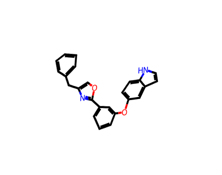 c1ccc(Cc2coc(-c3cccc(Oc4ccc5[nH]ccc5c4)c3)n2)cc1